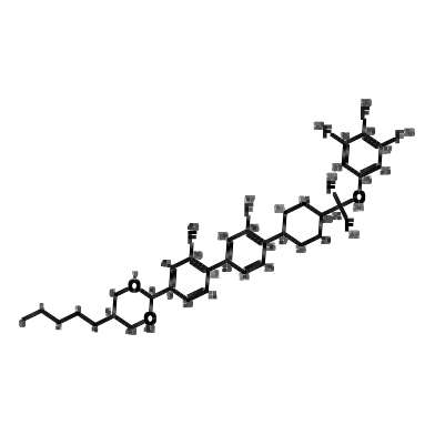 CCCCCC1COC(c2ccc(-c3ccc(C4CCC(C(F)(F)Oc5cc(F)c(F)c(F)c5)CC4)c(F)c3)c(F)c2)OC1